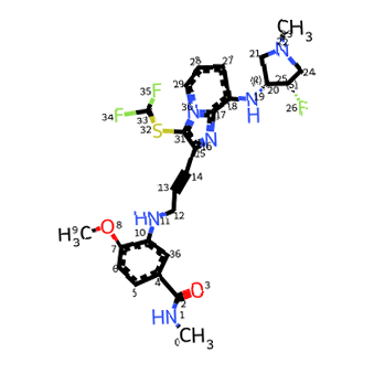 CNC(=O)c1ccc(OC)c(NCC#Cc2nc3c(N[C@@H]4CN(C)C[C@@H]4F)cccn3c2SC(F)F)c1